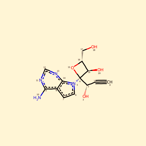 C#C[C@H](O)[C@@]1(n2ccc3c(N)ncnc32)O[C@H](CO)[C@H]1O